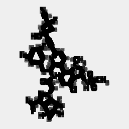 Cn1nc(NS(C)(=O)=O)c2c(Cl)ccc(-c3ccc(C#CC4(O)CC(F)(C#N)C4)nc3[C@H](Cc3cc(F)cc(F)c3)NC(=O)Cn3nc(C(F)F)c4c3C(F)(F)[C@@H]3C[C@H]43)c21